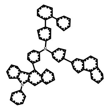 c1ccc(-c2ccccc2-c2ccc(N(c3ccc(-c4ccc5c(ccc6ccccc65)c4)cc3)c3cccc(-c4c5ccccc5cc5c4c4ccccc4n5-c4ccccc4)c3)cc2)cc1